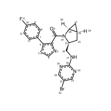 O=C(c1ncsc1-c1ccc(F)cc1)N1[C@H](CNc2ncc(Br)cn2)C[C@@H]2C[C@@H]21